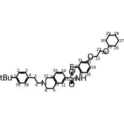 CC(C)(C)c1ccc(CCN2CCc3cc(S(=O)(=O)Nc4ccc(OCCOC5CCCCC5)cc4F)ccc3C2)cc1